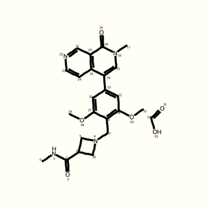 CNC(=O)C1CN(Cc2c(OC)cc(-c3cn(C)c(=O)c4cnccc34)cc2OC)C1.O=CO